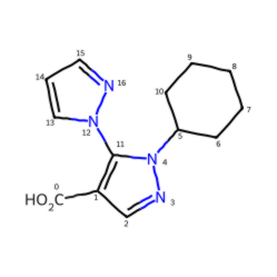 O=C(O)c1cnn(C2CCCCC2)c1-n1cccn1